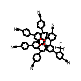 N#Cc1ccc(-c2ccc3c(c2)c2cc(-c4ccc(C#N)cc4)ccc2n3-c2ccc(-c3ccc(C#N)cc3C(F)(F)F)cc2-c2ccc(C#N)cc2-n2c3ccc(-c4ccc(C#N)cc4)cc3c3cc(-c4ccc(C#N)cc4)ccc32)cc1